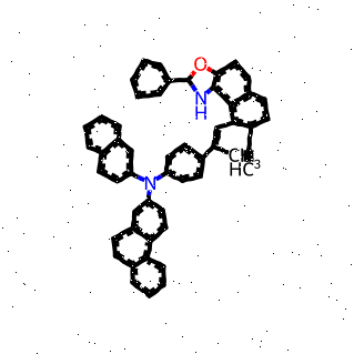 C#Cc1ccc2ccc3c(c2c1/C=C(\C)c1ccc(N(c2ccc4ccccc4c2)c2ccc4c(ccc5ccccc54)c2)cc1)NC(c1ccccc1)O3